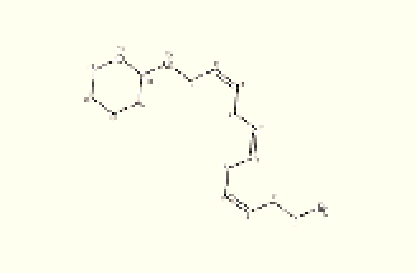 BrCC/C=C\C/C=C\C/C=C\COC1CCCCO1